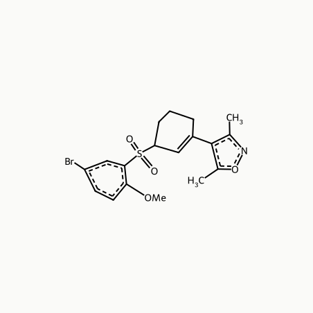 COc1ccc(Br)cc1S(=O)(=O)C1C=C(c2c(C)noc2C)CCC1